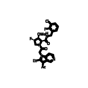 CCc1c(C(C)=O)c2cnccc2n1CC(=O)N1C[C@H](F)[C@@H](OC)[C@H]1C(=O)NCc1cccc(Cl)c1F